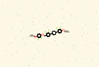 CCCCOc1ccc(OCc2ccc(C3=CCC(c4ccc(OCCCC)c(F)c4F)CC3)c(F)c2F)c(F)c1F